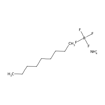 CCCCCCCCC.F[B-](F)(F)F.[NH4+]